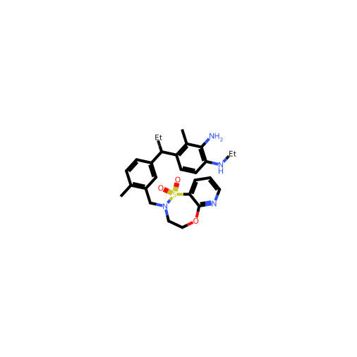 CCNc1ccc(C(CC)c2ccc(C)c(CN3CCOc4ncccc4S3(=O)=O)c2)c(C)c1N